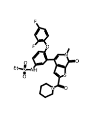 CCS(=O)(=O)Nc1ccc(Oc2ccc(F)cc2F)c(-c2cn(C)c(=O)c3sc(C(=O)N4CCCCC4)cc23)c1